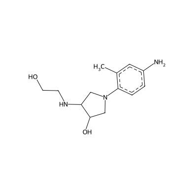 Cc1cc(N)ccc1N1CC(O)C(NCCO)C1